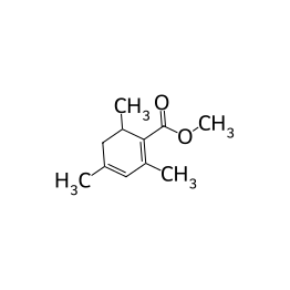 COC(=O)C1=C(C)C=C(C)CC1C